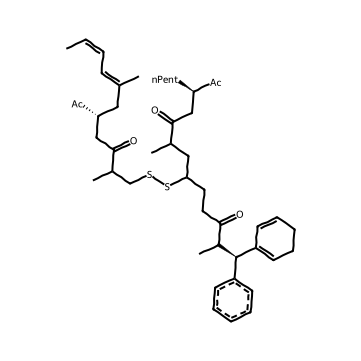 C/C=C\C=C(/C)C[C@H](CC(=O)C(C)CSSC(CCC(=O)C(C)[C@@H](C1=CCCC=C1)c1ccccc1)CC(C)C(=O)C[C@@H](CCCCC)C(C)=O)C(C)=O